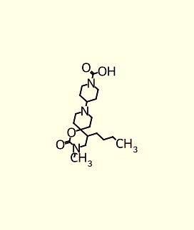 CCCCC1CN(C)C(=O)OC12CCN(C1CCN(C(=O)O)CC1)CC2